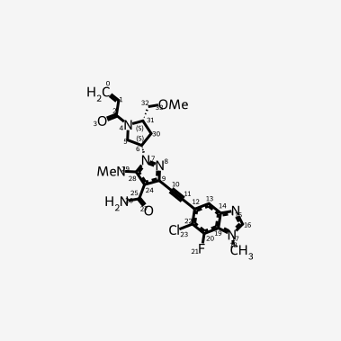 C=CC(=O)N1C[C@@H](n2nc(C#Cc3cc4ncn(C)c4c(F)c3Cl)c(C(N)=O)c2NC)C[C@H]1COC